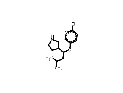 CC(C)CC(Oc1ccc(Cl)nc1)C1CCNC1